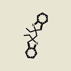 CCC1(CC2(CC)C=c3ccccc3=N2)C=c2ccccc2=N1